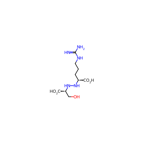 N=C(N)NCCC[C@H](NN[C@@H](CO)C(=O)O)C(=O)O